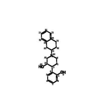 Oc1ccccc1C1CCN(C2CCc3ccccc3C2)CC1O